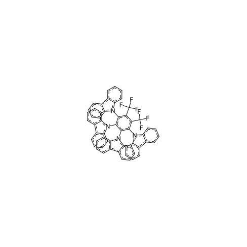 FC(F)(F)c1c(-n2c3ccccc3c3ccccc32)c(-n2c3ccccc3c3ccccc32)c(-n2c3ccccc3c3ccccc32)c(-n2c3ccccc3c3ccccc32)c1C(F)(F)F